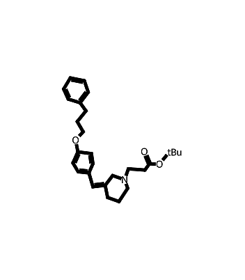 CC(C)(C)OC(=O)CCN1CCC/C(=C/c2ccc(OCCCc3ccccc3)cc2)C1